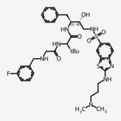 CN(C)CCCNc1nc2ccc(S(=O)(=O)NC[C@@H](O)[C@H](Cc3ccccc3)NC(=O)C(NC(=O)CNCc3cccc(F)c3)C(C)(C)C)cc2s1